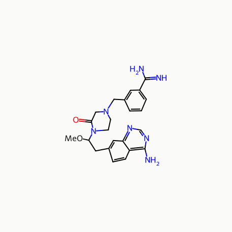 COC(Cc1ccc2c(N)ncnc2c1)N1CCN(Cc2cccc(C(=N)N)c2)CC1=O